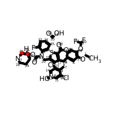 CCOc1cc([C@H](Cc2c(Cl)c[n+](O)cc2Cl)c2cc(CN(C(=O)O[C@H]3CN4CCC3CC4)c3ccccc3F)sc2C(=O)[O-])ccc1OC(F)F.O=CO